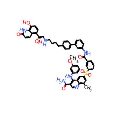 COc1cccc(Nc2c(C(N)=O)cnc3c(C)cc(S(=O)(=O)c4cccc(C(=O)Nc5cccc(-c6ccc(CCCCNC[C@H](O)c7ccc(O)c8[nH]c(=O)ccc78)cc6)c5)c4)cc23)c1